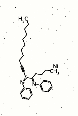 CCCCCCCCCC#CC(=Nc1ccccc1)C(CCCC)=Nc1ccccc1.[Ni]